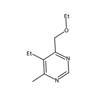 CCOCc1ncnc(C)c1CC